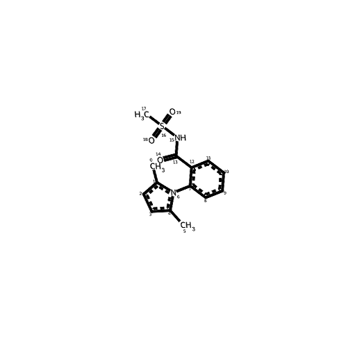 Cc1ccc(C)n1-c1ccccc1C(=O)NS(C)(=O)=O